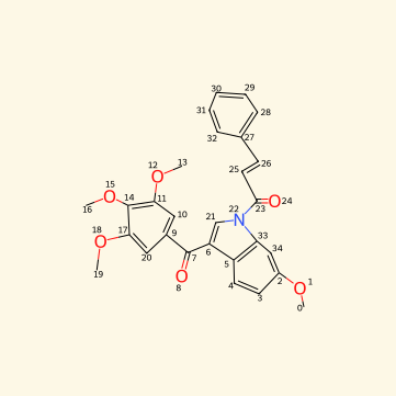 COc1ccc2c(C(=O)c3cc(OC)c(OC)c(OC)c3)cn(C(=O)C=Cc3ccccc3)c2c1